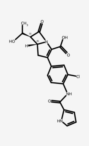 CC(O)[C@H]1C(=O)N2C(C(=O)O)=C(c3ccc(NC(=O)c4ccc[nH]4)c(Cl)c3)C[C@H]12